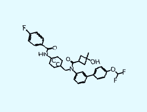 CC1(O)CC(C(=O)N(CC23CCC(NC(=O)c4ccc(F)cc4)(CC2)CC3)c2cccc(-c3ccc(OC(F)F)cc3)c2)C1